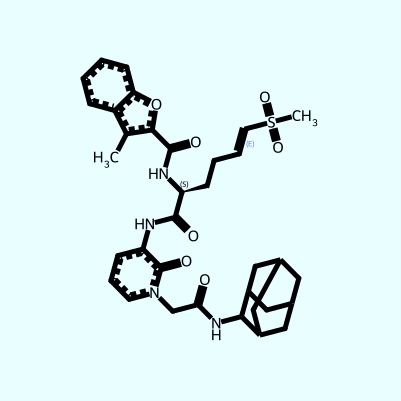 Cc1c(C(=O)N[C@@H](CC/C=C/S(C)(=O)=O)C(=O)Nc2cccn(CC(=O)NC3C4CC5CC(C4)CC3C5)c2=O)oc2ccccc12